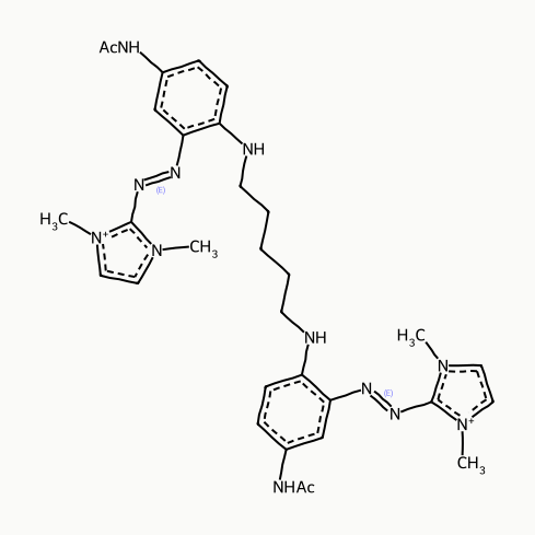 CC(=O)Nc1ccc(NCCCCCNc2ccc(NC(C)=O)cc2/N=N/c2n(C)cc[n+]2C)c(/N=N/c2n(C)cc[n+]2C)c1